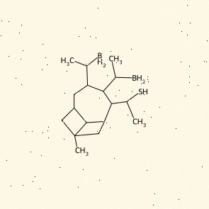 BC(C)C1CC2CC3(C)CC(C(C(C)S)C1C(B)C)C23